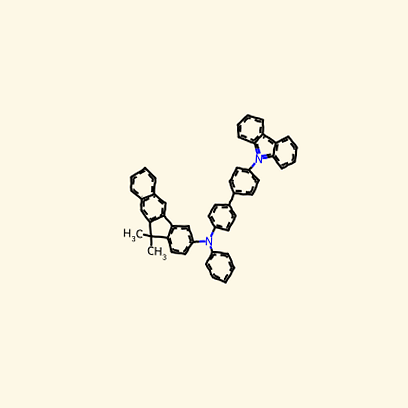 CC1(C)c2ccc(N(c3ccccc3)c3ccc(-c4ccc(-n5c6ccccc6c6ccccc65)cc4)cc3)cc2-c2cc3ccccc3cc21